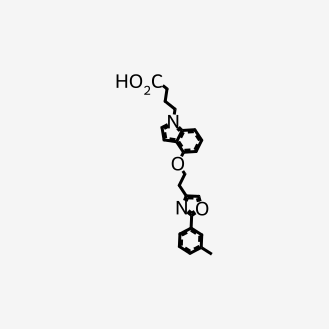 Cc1cccc(-c2nc(CCOc3cccc4c3ccn4CCCC(=O)O)co2)c1